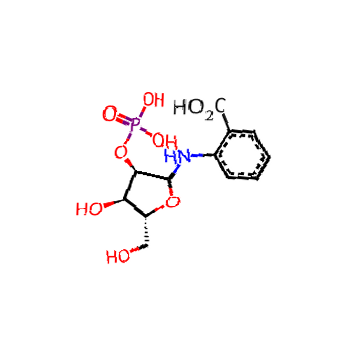 O=C(O)c1ccccc1NC1O[C@H](CO)[C@@H](O)[C@H]1OP(=O)(O)O